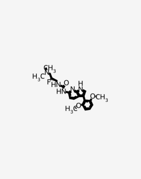 COc1cccc(OC)c1-c1c[nH]c2nc(NC(=O)NC[C@@H](F)CN(C)C)ccc12